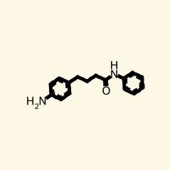 Nc1ccc(CCCC(=O)Nc2ccccc2)cc1